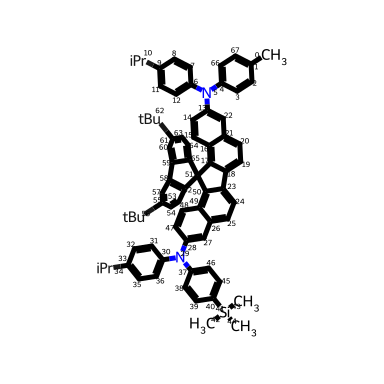 Cc1ccc(N(c2ccc(C(C)C)cc2)c2ccc3c4c(ccc3c2)-c2ccc3cc(N(c5ccc(C(C)C)cc5)c5ccc([Si](C)(C)C)cc5)ccc3c2C42c3ccc(C(C)(C)C)cc3-c3cc(C(C)(C)C)ccc32)cc1